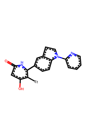 CCc1c(O)cc(=O)[nH]c1-c1ccc2c(ccn2-c2ccccn2)c1